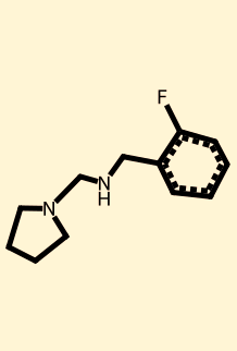 Fc1ccccc1CNCN1CCCC1